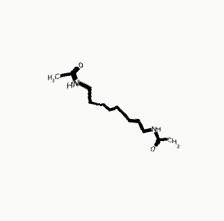 CC(=O)NCCCCCCCCNC(C)=O